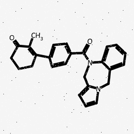 CC1=C(c2ccc(C(=O)N3Cc4cccn4Cc4ccccc43)cc2)CCCC1=O